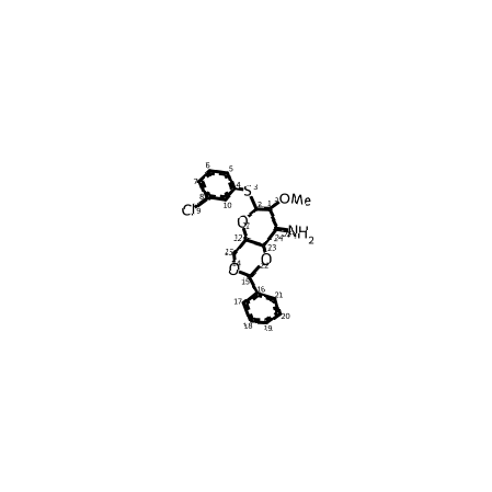 COC1C(Sc2cccc(Cl)c2)OC2COC(c3ccccc3)OC2C1N